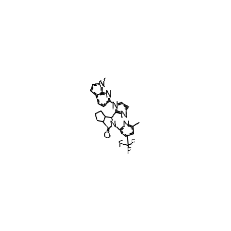 Cc1cc(C(F)(F)F)cc(N2C(=O)C3CCCC3C2c2nccn2-c2ccc3ccn(C)c3n2)n1